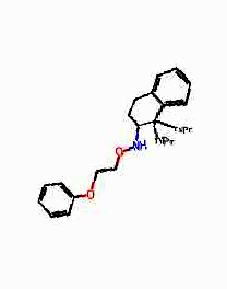 CCCC1(CCC)c2ccccc2CCC1NOCCOc1ccccc1